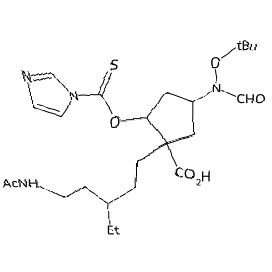 CCC(CCNC(C)=O)CCC1(C(=O)O)CC(N(C=O)OC(C)(C)C)CC1OC(=S)n1ccnc1